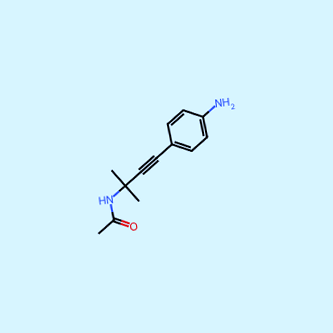 CC(=O)NC(C)(C)C#Cc1ccc(N)cc1